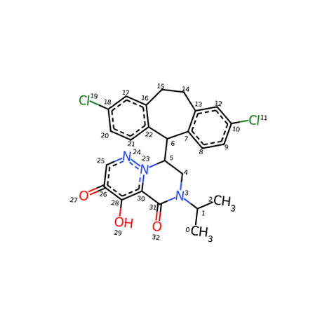 CC(C)N1CC(C2c3ccc(Cl)cc3CCc3cc(Cl)ccc32)n2ncc(=O)c(O)c2C1=O